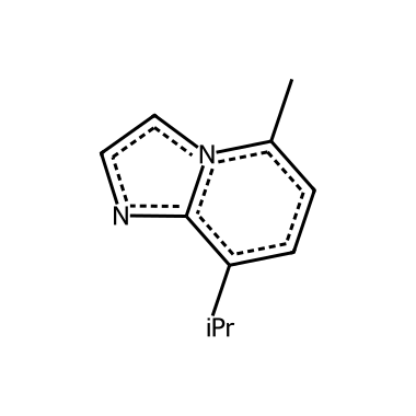 Cc1ccc(C(C)C)c2nccn12